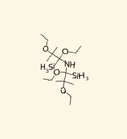 CCOC(C)(C)C([SiH3])(NC([SiH3])(OCC)C(C)(C)OCC)OCC